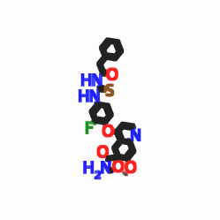 COC1=Cc2nccc(Oc3ccc(NC(=S)NC(=O)Cc4ccccc4)cc3F)c2CC1(OC)C(N)=O